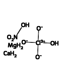 O=[N+]([O-])O.[CaH2].[MgH2].[O-][Cl+3]([O-])([O-])O